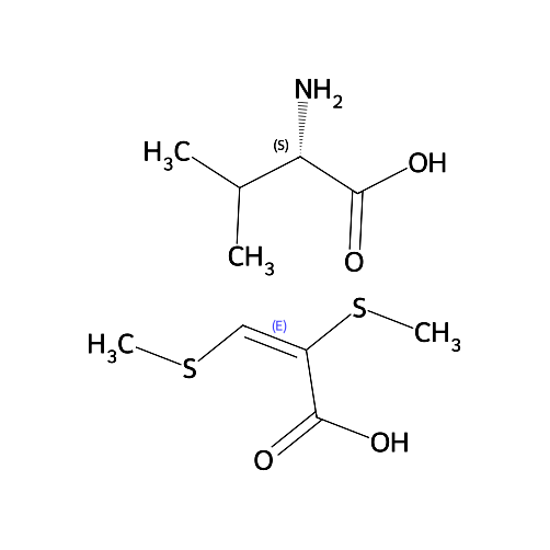 CC(C)[C@H](N)C(=O)O.CS/C=C(/SC)C(=O)O